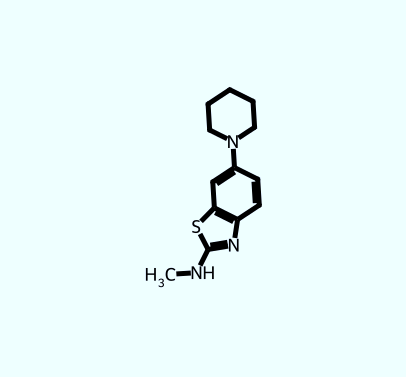 CNc1nc2ccc(N3CCCCC3)cc2s1